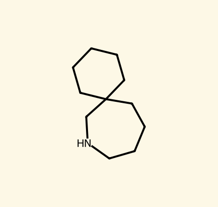 C1CCC2(CC1)CCCCNC2